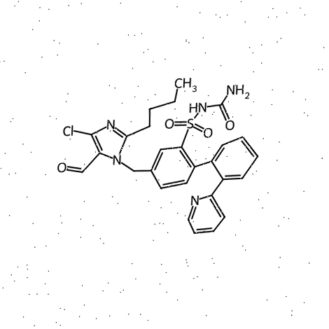 CCCCc1nc(Cl)c(C=O)n1Cc1ccc(-c2ccccc2-c2ccccn2)c(S(=O)(=O)NC(N)=O)c1